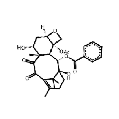 CC(=O)O[C@@]12CO[C@@H]1C[C@@H](O)[C@@]1(C)C(=O)C(=O)C3=C(C)CC[C@@](O)([C@@H](OC(=O)c4ccccc4)C12)C3(C)C